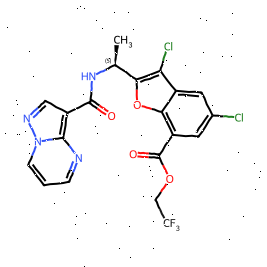 C[C@H](NC(=O)c1cnn2cccnc12)c1oc2c(C(=O)OCC(F)(F)F)cc(Cl)cc2c1Cl